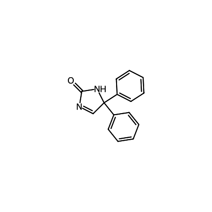 O=C1N=CC(c2ccccc2)(c2ccccc2)N1